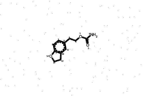 NC(=O)OCCc1ccc2c(c1)CCO2